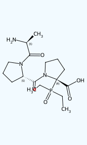 CCP(=O)(CC)[C@@]1(C(=O)O)CCCN1C(=O)[C@@H]1CCCN1C(=O)[C@H](C)N